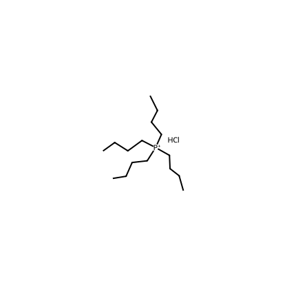 CCCC[P+](CCCC)(CCCC)CCCC.Cl